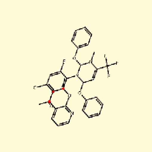 CC(=O)OC(C)Oc1ncccc1Oc1cc(N2C(Oc3ccccc3)C=C(C(F)(F)F)N(C)C2Oc2ccccc2)c(F)cc1Cl